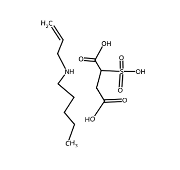 C=CCNCCCCC.O=C(O)CC(C(=O)O)S(=O)(=O)O